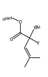 CCCCCCOC(=O)C(F)(C=C(C)C)C(C)(C)C